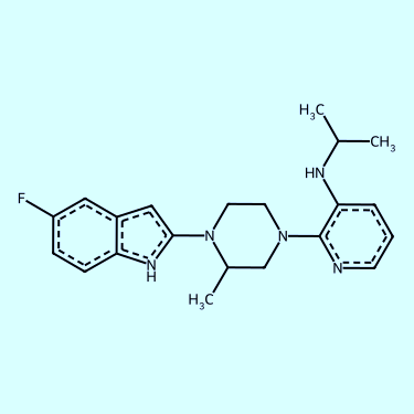 CC(C)Nc1cccnc1N1CCN(c2cc3cc(F)ccc3[nH]2)C(C)C1